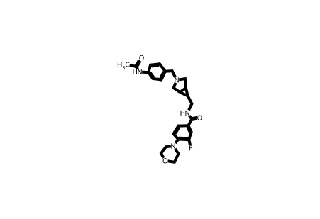 CC(=O)Nc1ccc(CN2CC3C(CNC(=O)c4ccc(N5CCOCC5)c(F)c4)C3C2)cc1